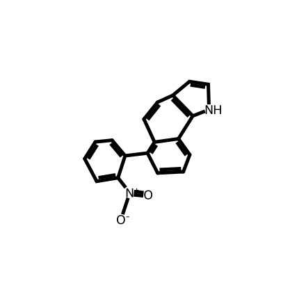 O=[N+]([O-])c1ccccc1-c1cccc2c1ccc1cc[nH]c12